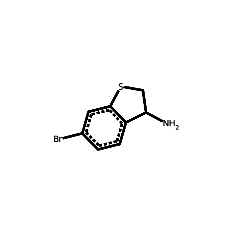 NC1CSc2cc(Br)ccc21